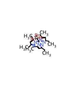 CCc1cc(CC)n([C](n2nc(CC)cc2CC)(n2nc(CC)cc2CC)[Ti]([Br])([Br])[Br])n1